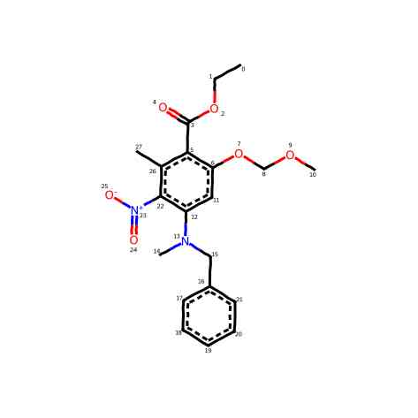 CCOC(=O)c1c(OCOC)cc(N(C)Cc2ccccc2)c([N+](=O)[O-])c1C